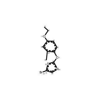 CCOc1ccc(Oc2ncc(Br)s2)c(C)c1